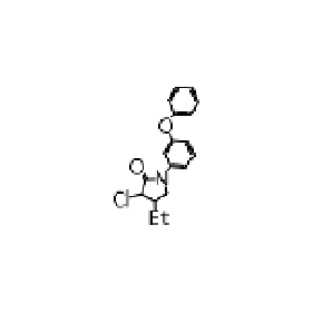 CCC1CN(c2cccc(Oc3ccccc3)c2)C(=O)C1Cl